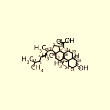 CC(C)CCC[C@@H](C)[C@H]1CC[C@@]2(CC(=O)O)C3=C(CC[C@]12C)[C@@]1(C)CC[C@H](O)C[C@@H]1CC3